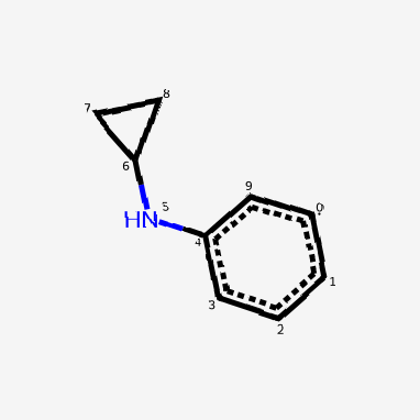 [c]1cccc(NC2CC2)c1